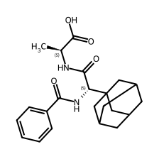 C[C@H](NC(=O)[C@@H](NC(=O)c1ccccc1)C12CC3CC(CC(C3)C1)C2)C(=O)O